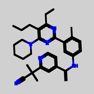 C=C(Nc1ccc(C)c(-c2nc(CC)c(CCC)c(N3CCCCC3)n2)c1)c1ccnc(C(C)(C)C#N)c1